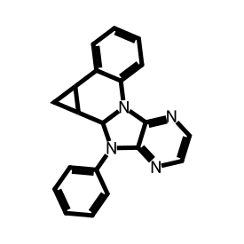 c1ccc(N2c3nccnc3N3c4ccccc4C4CC4C23)cc1